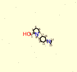 OC[C@@H]1CCCCN1C[C@H]1CC[C@@H](N2CC2)CC1